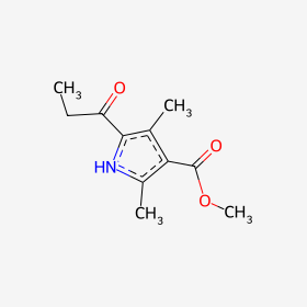 CCC(=O)c1[nH]c(C)c(C(=O)OC)c1C